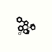 C1=C(c2ccccc2)C(c2ccccc2)=[C]([Zr+]([C]23CCC(CC2)C3)[C]23CCC(CC2)C3)C1.[Cl-]